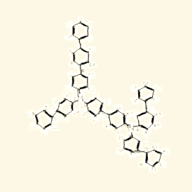 c1ccc(-c2ccc(-c3ccc(N(c4ccc(-c5ccccc5)cc4)c4ccc(-c5ccc(N(c6cccc(-c7ccccc7)c6)c6cccc(-c7ccccc7)c6)cc5)cc4)cc3)cc2)cc1